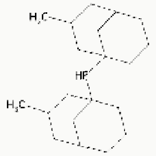 CC1CC2CCCC(PC34CCCC(CC(C)C3)C4)(C1)C2